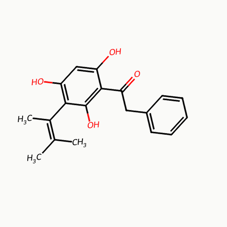 CC(C)=C(C)c1c(O)cc(O)c(C(=O)Cc2ccccc2)c1O